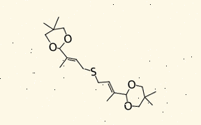 C/C(=C\CSC/C=C(\C)C1OCC(C)(C)CO1)C1OCC(C)(C)CO1